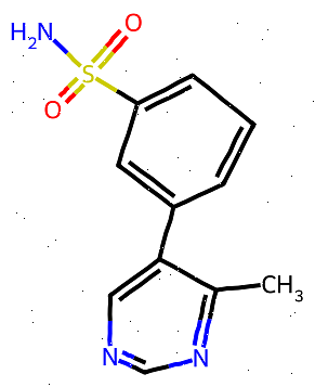 Cc1ncncc1-c1cccc(S(N)(=O)=O)c1